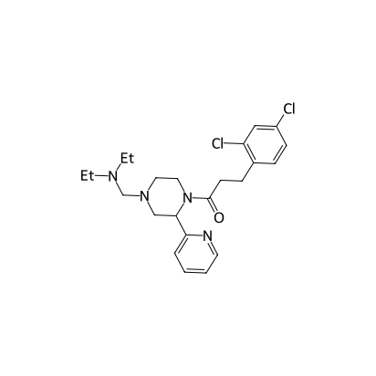 CCN(CC)CN1CCN(C(=O)CCc2ccc(Cl)cc2Cl)C(c2ccccn2)C1